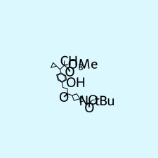 COC(=O)C(C)C(c1ccc(CCC(=O)C2CC3(C2)CN(C(=O)OC(C)(C)C)C3)c(O)c1)C1CC1